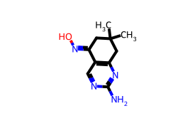 CC1(C)C/C(=N\O)c2cnc(N)nc2C1